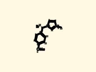 COc1ccc(Cn2cc[n+](C)c2)cc1.[Br-]